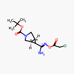 CC(C)(C)OC(=O)N1C[C@@H]2C(/C(N)=N/OC(=O)CCl)[C@@H]2C1